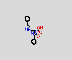 O=C(O)N1C(=O)C(c2ccccc2)N2CC1=C2NCCc1ccccc1